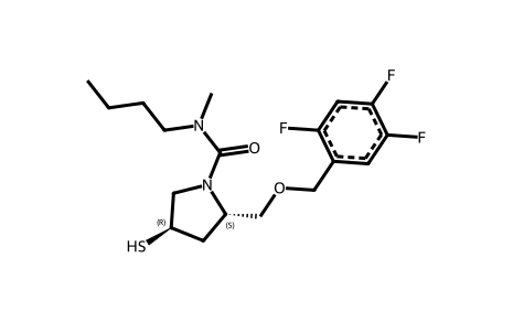 CCCCN(C)C(=O)N1C[C@H](S)C[C@H]1COCc1cc(F)c(F)cc1F